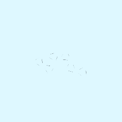 c1ccc2c(c1)oc1ccc(-c3ccc4c(c3)-c3cc(-c5cccc6oc7ccccc7c56)ccc3COC4)cc12